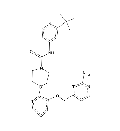 CC(C)(C)c1cc(NC(=O)N2CCN(c3ncccc3OCc3ccnc(N)n3)CC2)ccn1